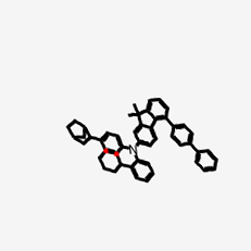 CC1(C)c2cc(N(c3ccc(C4CC5CCC4C5)cc3)c3ccccc3C3CCCCC3)ccc2-c2c(-c3ccc(-c4ccccc4)cc3)cccc21